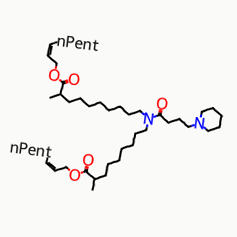 CCCCC/C=C\COC(=O)C(C)CCCCCCCCN(CCCCCCCC(C)C(=O)OC/C=C\CCCCC)C(=O)CCCN1CCCCC1